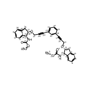 CC(C)(C)OC(=O)N[C@H]1c2ccccc2C[C@H]1OCC#Cc1cccc(C#CCO[C@@H]2Cc3ccccc3[C@@H]2NC(=O)OC(C)(C)C)c1